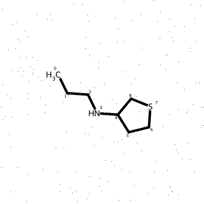 CCCNC1CCSC1